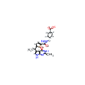 Cc1nc2[nH]cc(C(C)c3ccc(C(=O)NC[C@H]4CC[C@H](C(=O)O)CC4)s3)c2c(=O)[nH]1